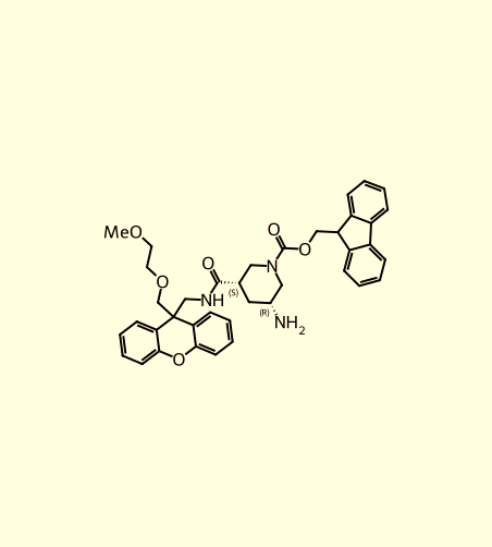 COCCOCC1(CNC(=O)[C@H]2C[C@@H](N)CN(C(=O)OCC3c4ccccc4-c4ccccc43)C2)c2ccccc2Oc2ccccc21